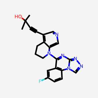 CC(C)(O)C#Cc1cncc2c1CCCN2c1nc2nncn2c2ccc(F)cc12